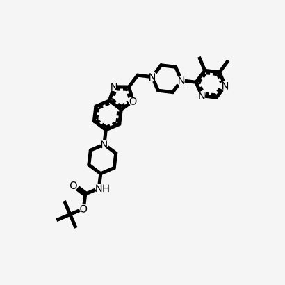 Cc1ncnc(N2CCN(Cc3nc4ccc(N5CCC(NC(=O)OC(C)(C)C)CC5)cc4o3)CC2)c1C